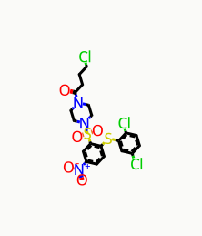 O=C(CCCCl)N1CCN(S(=O)(=O)c2cc([N+](=O)[O-])ccc2Sc2cc(Cl)ccc2Cl)CC1